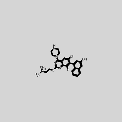 CN(C)CCOc1nc(N2CCNCC2)c2cc(Cl)c(-c3cc(O)cc4ccccc34)c(F)c2n1